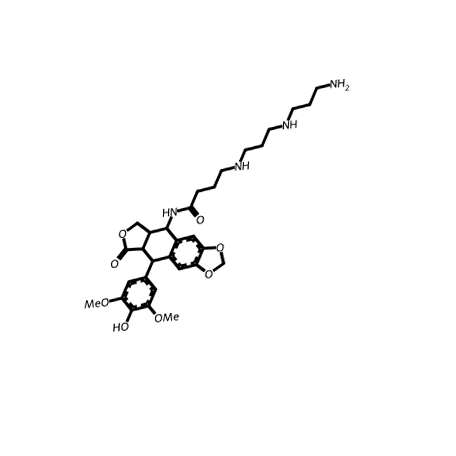 COc1cc(C2c3cc4c(cc3C(NC(=O)CCCNCCCNCCCN)C3COC(=O)C23)OCO4)cc(OC)c1O